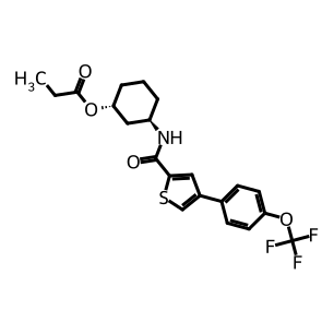 CCC(=O)O[C@@H]1CCC[C@@H](NC(=O)c2cc(-c3ccc(OC(F)(F)F)cc3)cs2)C1